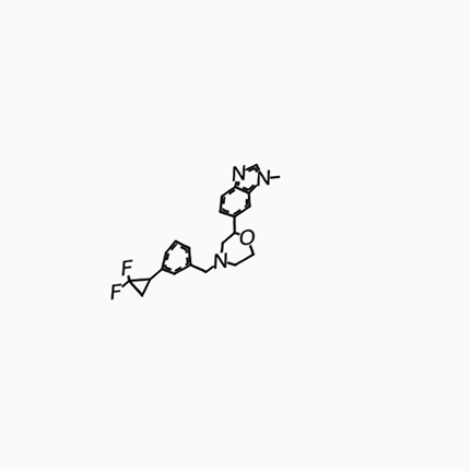 Cn1cnc2ccc(C3CN(Cc4cccc(C5CC5(F)F)c4)CCO3)cc21